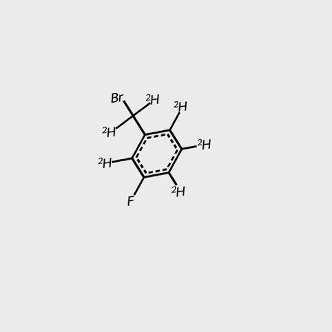 [2H]c1c([2H])c(F)c([2H])c(C([2H])([2H])Br)c1[2H]